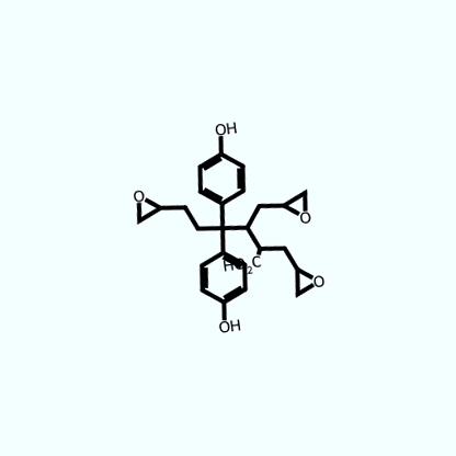 O=C(O)C(CC1CO1)C(CC1CO1)C(CCC1CO1)(c1ccc(O)cc1)c1ccc(O)cc1